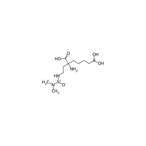 CN(C)[S+]([O-])NCCC(N)(CCCCB(O)O)C(=O)O